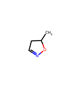 CC1[CH]C=NO1